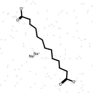 O=C([O-])CCCCCCCCCCCC(=O)[O-].[Na+].[Na+]